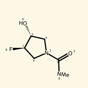 CNC(=O)N1C[C@@H](O)[C@H](F)C1